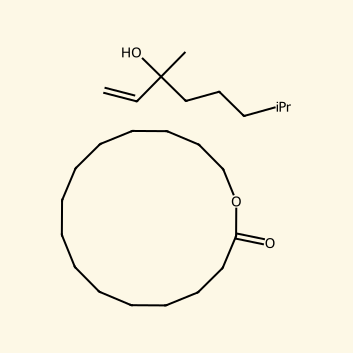 C=CC(C)(O)CCCC(C)C.O=C1CCCCCCCCCCCCCCO1